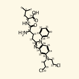 CC(C)CC(NC(=O)C(N)CCc1nc2cc(N(CCCl)CCCl)ccc2n1-c1ccccc1)C(=O)O